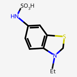 CCN1CSc2cc(NS(=O)(=O)O)ccc21